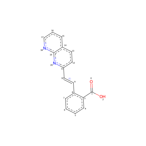 O=C(O)c1ccccc1/C=C/c1ccc2cccnc2n1